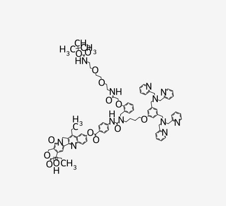 CCc1c2c(nc3ccc(OC(=O)c4ccc(NC(=O)N(CCCCOc5cc(CN(Cc6ccccn6)Cc6ccccn6)cc(CN(Cc6ccccn6)Cc6ccccn6)c5)Cc5ccccc5OCC(=O)NCCOCCOCCNC(=O)OC(C)(C)C)cc4)cc13)-c1cc3c(c(=O)n1C2)COC(=O)[C@]3(O)CC